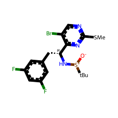 CSc1ncc(Br)c([C@@H](Cc2cc(F)cc(F)c2)N[S+]([O-])C(C)(C)C)n1